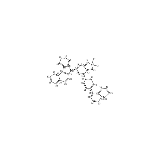 CC1(C)C=c2nc(-n3c4ccccc4c4c5ccccc5ccc43)nc(-c3ccc(-c4cccc5ccccc45)cc3)c2=C1